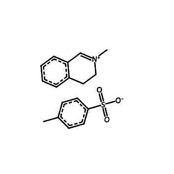 C[N+]1=Cc2ccccc2CC1.Cc1ccc(S(=O)(=O)[O-])cc1